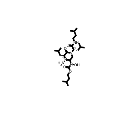 CC(C)CCNC(=O)[C@H](CC(C)C)N1CC(N(O)C(=O)OCCC(C)C)N(N)[C@@H](CC(C)C)C1=O